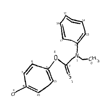 CN(C(=S)Oc1ccc(Cl)cc1)c1ccccc1